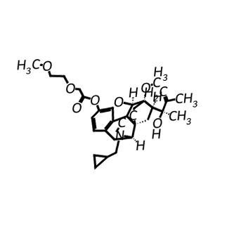 C=C(C)[C@@](C)(O)[C@H]1C[C@@]23CC[C@@]1(OC)[C@@H]1Oc4c(OC(=O)COCCOC)ccc5c4[C@@]12CCN(CC1CC1)[C@@H]3C5